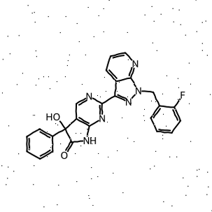 O=C1Nc2nc(-c3nn(Cc4ccccc4F)c4ncccc34)ncc2C1(O)c1ccccc1